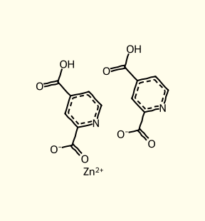 O=C(O)c1ccnc(C(=O)[O-])c1.O=C(O)c1ccnc(C(=O)[O-])c1.[Zn+2]